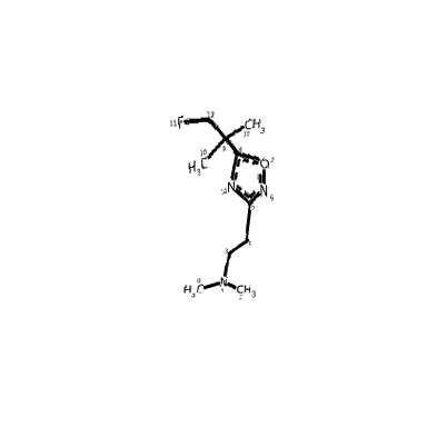 CN(C)CCc1noc(C(C)(C)CF)n1